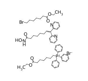 CCOC(=O)CCCCCCBr.CCOC(=O)CCCCCC[P+](c1ccccc1)(c1ccccc1)c1ccccc1.O=C(CCCCCC=C(c1ccccn1)c1ccccn1)NO.[Br-]